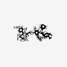 CCCCC1(CCCC)CN(c2ccccc2)c2cc(SC)c(OCC(=O)N[C@@H](C(=O)N[C@@H](CC)C(=O)O)C3C=CC(O)=CC3)cc2S(=O)(=O)N1